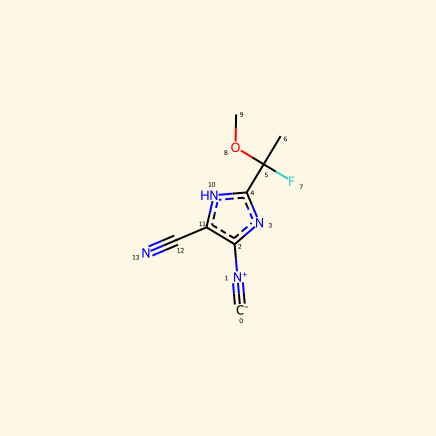 [C-]#[N+]c1nc(C(C)(F)OC)[nH]c1C#N